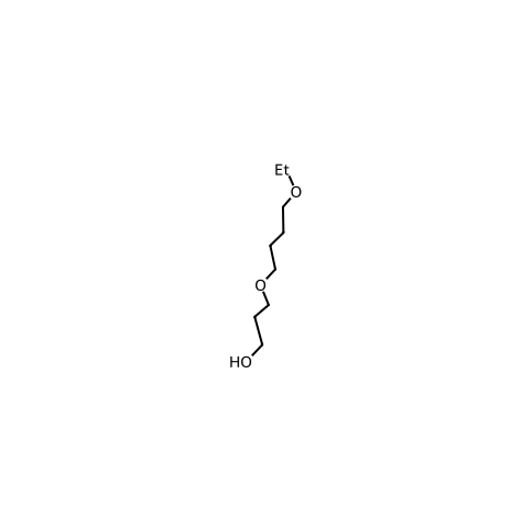 CCOCCCCOCCCO